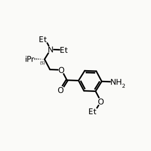 CCOc1cc(C(=O)OC[C@H](C(C)C)N(CC)CC)ccc1N